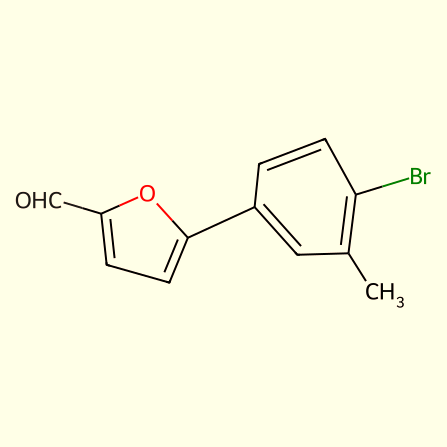 Cc1cc(-c2ccc(C=O)o2)ccc1Br